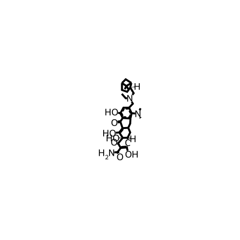 CCN(Cc1cc(O)c2c(c1N(C)C)CC1C[C@H]3CC(O)=C(C(N)=O)C(=O)[C@@]3(O)C(O)=C1C2=O)C[C@H]1CCC2CC1C2(C)C